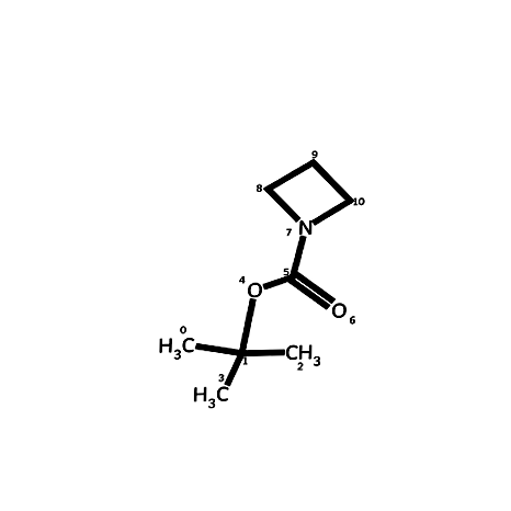 CC(C)(C)OC(=O)N1CCC1